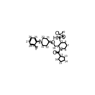 CS(=O)(=O)N[C@H]1CCCN(C(=O)C2CCCC2)[C@H]1COC1CCN(c2ccccc2F)CC1